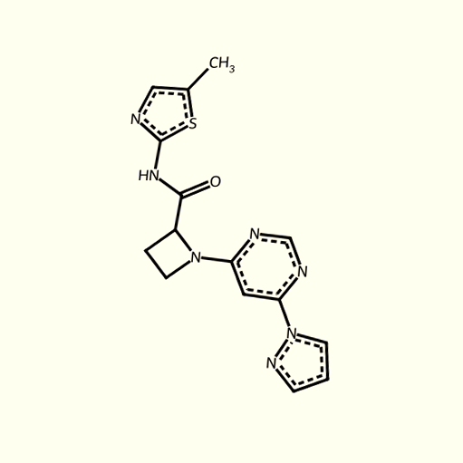 Cc1cnc(NC(=O)C2CCN2c2cc(-n3cccn3)ncn2)s1